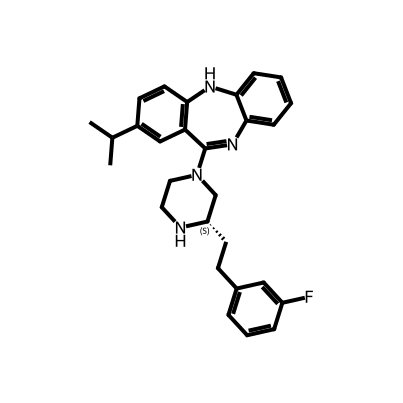 CC(C)c1ccc2c(c1)C(N1CCN[C@@H](CCc3cccc(F)c3)C1)=Nc1ccccc1N2